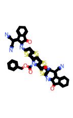 N#CC(C#N)=C1C2=CCCC=C2C(=O)/C1=N\c1cc2sc3c4sc5cc(/N=C6/C(=O)C7=CCCC=C7C6=C(C#N)C#N)sc5c4n(C(=O)OCc4ccccc4)c3c2s1